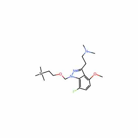 COc1ccc(F)c2c1c(CCN(C)C)nn2COCC[Si](C)(C)C